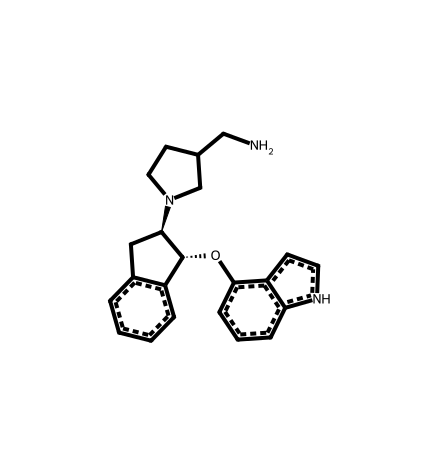 NCC1CCN([C@@H]2Cc3ccccc3[C@H]2Oc2cccc3[nH]ccc23)C1